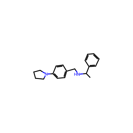 CC(NCc1ccc(N2CCCC2)cc1)c1ccccc1